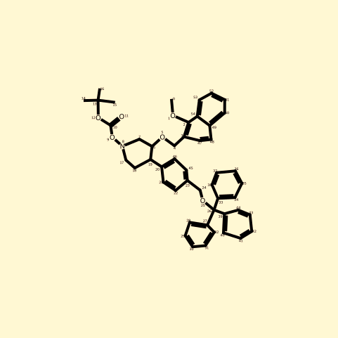 COc1c(COC2CN(OC(=O)OC(C)(C)C)CCC2c2ccc(COC(c3ccccc3)(c3ccccc3)c3ccccc3)cc2)ccc2ccccc12